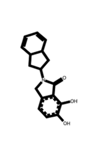 O=C1c2c(ccc(O)c2O)CN1C1CC2C=CC=CC2C1